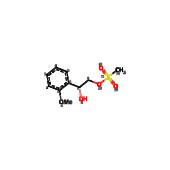 COc1ccccc1[C@@H](O)COS(C)(=O)=O